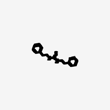 S=C(SCCc1ccccc1)SCCc1ccccc1